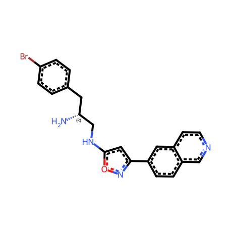 N[C@@H](CNc1cc(-c2ccc3cnccc3c2)no1)Cc1ccc(Br)cc1